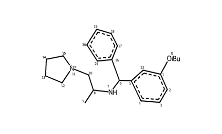 CC(C)COc1cccc(C(NC(C)C[N+]2CCCC2)c2ccccc2)c1